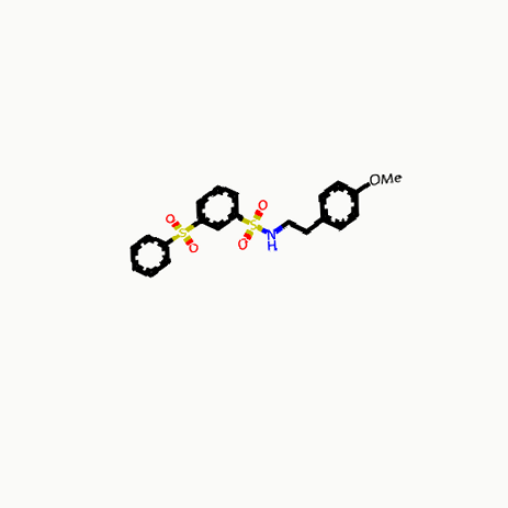 COc1ccc(CCNS(=O)(=O)c2cccc(S(=O)(=O)c3ccccc3)c2)cc1